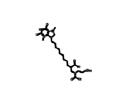 CCCCCCCCCCCCN(CC(CCCCCCCCCN1CN(C)c2c1n(C)c(=O)[nH]c2=O)C(=O)CC)C(=O)CC